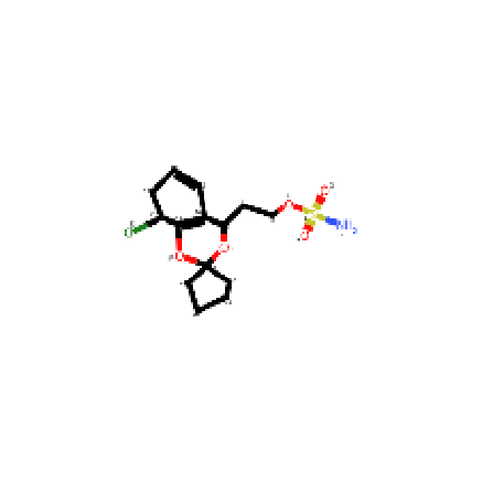 NS(=O)(=O)OCCC1OC2(CCCC2)OC2=C1C=CCC2Cl